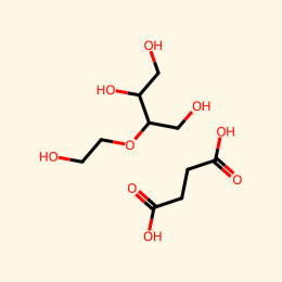 O=C(O)CCC(=O)O.OCCOC(CO)C(O)CO